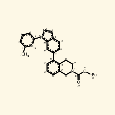 Cc1cccc(-n2ncc3ccc(-c4cccc5c4CCN(C(=O)OC(C)(C)C)C5)cc32)n1